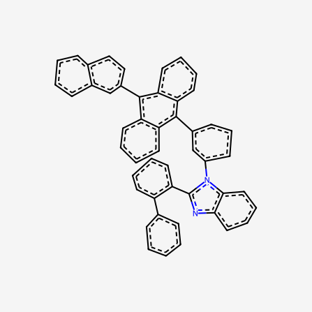 c1ccc(-c2ccccc2-c2nc3ccccc3n2-c2cccc(-c3c4ccccc4c(-c4ccc5ccccc5c4)c4ccccc34)c2)cc1